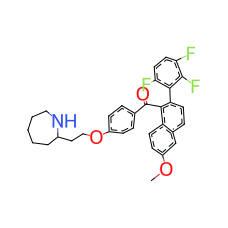 COc1ccc2c(C(=O)c3ccc(OCCC4CCCCCN4)cc3)c(-c3c(F)ccc(F)c3F)ccc2c1